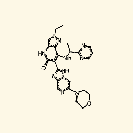 CCn1cc2[nH]c(=O)c(-c3nc4cnc(N5CCOCC5)cc4[nH]3)c(NC(C)c3ncccn3)c2n1